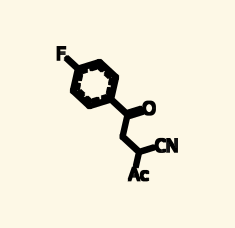 CC(=O)C(C#N)CC(=O)c1ccc(F)cc1